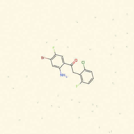 Nc1cc(Br)c(F)cc1C(=O)Cc1c(F)cccc1Cl